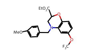 CCOC(=O)C1CN(Cc2ccc(OC)cc2)c2cc(OC(F)(F)F)ccc2O1